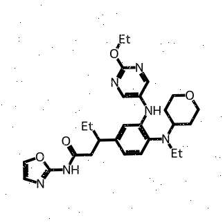 CCOc1ncc(Nc2cc(C(CC)CC(=O)Nc3ncco3)ccc2N(CC)C2CCOCC2)cn1